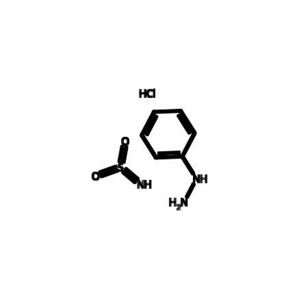 Cl.N=S(=O)=O.NNc1ccccc1